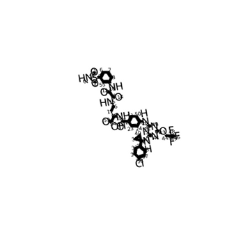 CNS(=O)(=O)c1cccc(NC(=O)C(=O)NCC[C@H](NC(=O)c2ccc(Nc3nc(NC4(c5ccc(Cl)cc5)CC4)nc(OCC(F)(F)F)n3)cc2)C(=O)O)c1